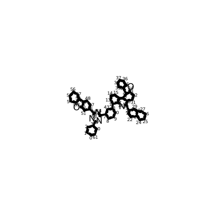 c1ccc(-c2nc(-c3cccc(-c4cccc5c4nc(-c4ccc6ccccc6c4)c4ccc6oc7ccccc7c6c45)c3)nc(-c3ccc4c(c3)oc3ccccc34)n2)cc1